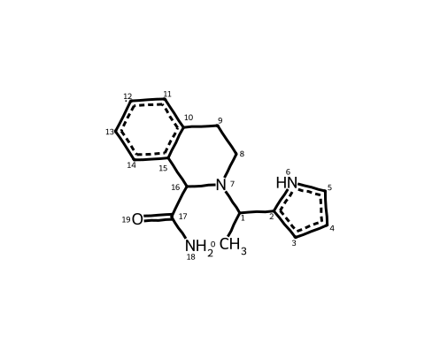 CC(c1ccc[nH]1)N1CCc2c[c]ccc2C1C(N)=O